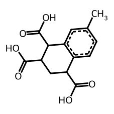 Cc1ccc2c(c1)C(C(=O)O)C(C(=O)O)CC2C(=O)O